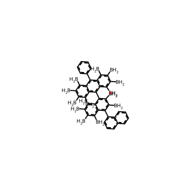 Bc1c(B)c(B)c2c(-c3c4c(B)c(B)c(B)c(B)c4c(-c4ccccc4)c4c(B)c(B)c(B)c(B)c34)c(B)c(B)c(-c3cccc4ccccc34)c2c1B